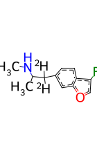 [2H]C([2H])(c1ccc2c(F)coc2c1)C(C)NC